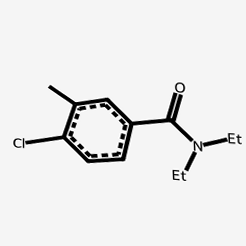 CCN(CC)C(=O)c1ccc(Cl)c(C)c1